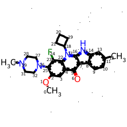 COc1cc2c(=O)c3c4ccc(C)cc4[nH]c3n(C3CCC3)c2c(F)c1N1CCN(C)CC1